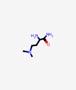 CN(C)CCC(N)C(N)=O